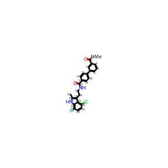 CNC(=O)c1cccc(-c2ccc(C(=O)NCCc3c(C)[nH]c4c(F)ccc(Cl)c34)cc2)c1